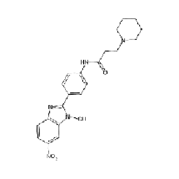 O=C(CCN1CCCCC1)Nc1ccc(-c2nc3ccc([N+](=O)[O-])cc3n2O)cc1